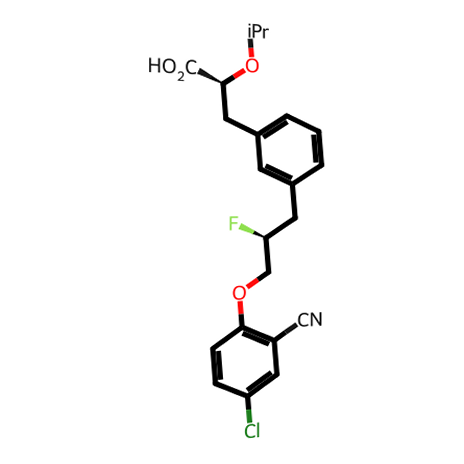 CC(C)O[C@@H](Cc1cccc(C[C@H](F)COc2ccc(Cl)cc2C#N)c1)C(=O)O